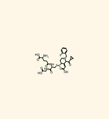 NC(CCC(=O)NC(CSSC1CCN(Cc2ccccc2F)C(C(=O)C2CC2)/C1=C/C(=O)O)C(=O)NCC(=O)O)C(=O)O